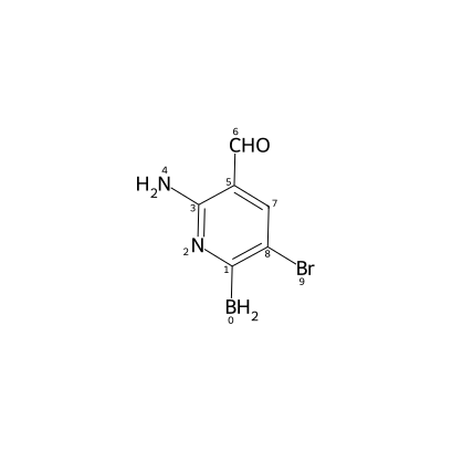 Bc1nc(N)c(C=O)cc1Br